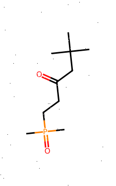 CC(C)(C)CC(=O)CCP(C)(C)=O